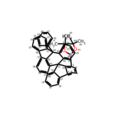 CC1(C)OB(c2cccc3c2C2(c4ccccc4-3)c3ccccc3C3(c4ccccc4)c4ccccc4-c4cccc2c43)OC1(C)C